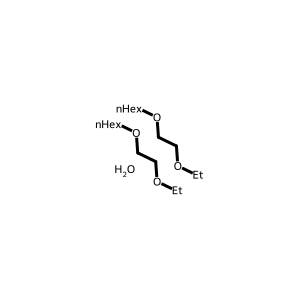 CCCCCCOCCOCC.CCCCCCOCCOCC.O